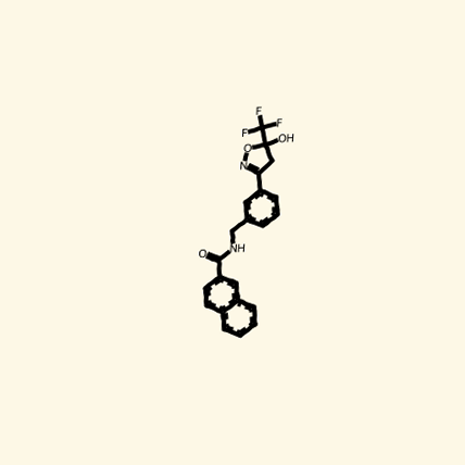 O=C(NCc1cccc(C2=NOC(O)(C(F)(F)F)C2)c1)c1ccc2ccccc2c1